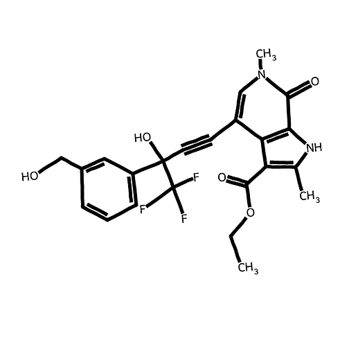 CCOC(=O)c1c(C)[nH]c2c(=O)n(C)cc(C#CC(O)(c3cccc(CO)c3)C(F)(F)F)c12